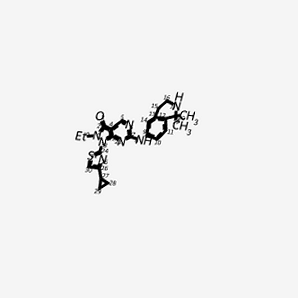 CCn1c(=O)c2cnc(Nc3ccc4c(c3)CCNC4(C)C)nc2n1-c1nc(C2CC2)cs1